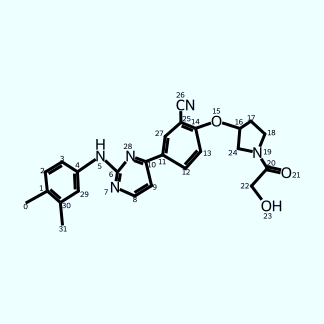 Cc1ccc(Nc2nccc(-c3ccc(OC4CCN(C(=O)CO)C4)c(C#N)c3)n2)cc1C